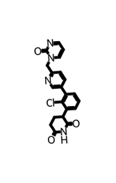 O=C1CCC(c2cccc(-c3ccc(Cn4cccnc4=O)nc3)c2Cl)C(=O)N1